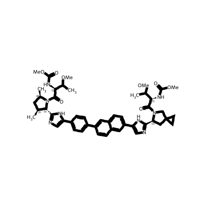 COC(=O)N[C@H](C(=O)N1CC2(CC2)C[C@H]1c1ncc(-c2ccc3cc(-c4ccc(-c5cnc([C@@H]6[C@@H](C)C[C@@H](C)N6C(=O)[C@@H](NC(=O)OC)C(C)OC)[nH]5)cc4)ccc3c2)[nH]1)C(C)OC